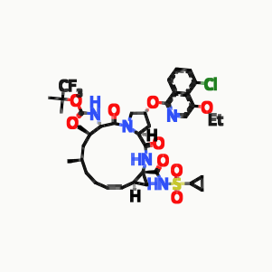 CCOc1cnc(O[C@@H]2C[C@H]3C(=O)N[C@]4(C(=O)NS(=O)(=O)C5CC5)C[C@H]4/C=C\CC[C@@H](C)C[C@@H](C)[C@H](NC(=O)OC(C)(C)C(F)(F)F)C(=O)N3C2)c2cccc(Cl)c12